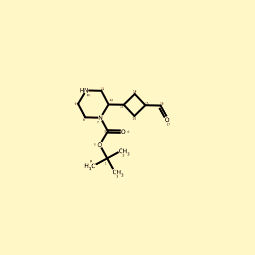 CC(C)(C)OC(=O)N1CCNCC1C1CC(C=O)C1